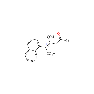 CCC(=O)C/C(C(=O)O)=C(\C(=O)O)c1cccc2ccccc12